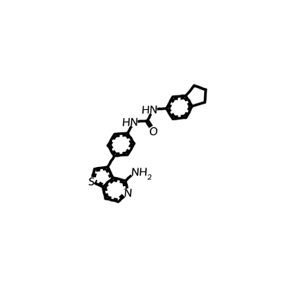 Nc1nccc2scc(-c3ccc(NC(=O)Nc4ccc5c(c4)CCC5)cc3)c12